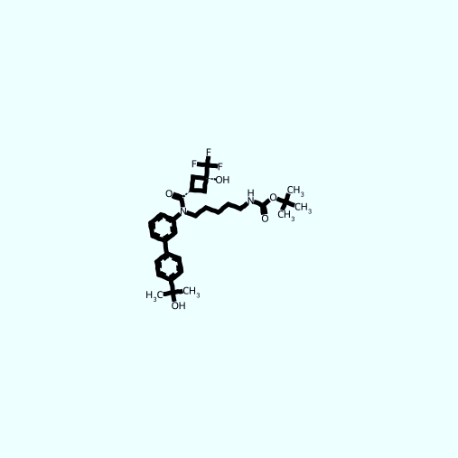 CC(C)(C)OC(=O)NCCCCCN(c1cccc(-c2ccc(C(C)(C)O)cc2)c1)C(=O)[C@H]1C[C@](O)(C(F)(F)F)C1